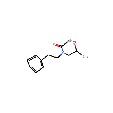 CC(C)(C)C(=O)N(CCc1ccccc1)CC(O)C(F)(F)F